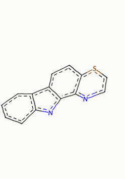 c1ccc2c(c1)nc1c2ccc2sccnc21